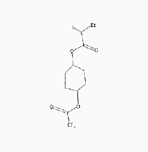 CCC(I)C(=O)OC1CCC(OC(=O)C(F)(F)F)CC1